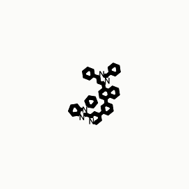 c1ccc(-c2cc(-c3ccc(-c4cccc(-c5ccnc(-c6nc7ccccc7n6-c6ccccc6)c5)c4)c4ccccc34)nc(-c3ccccc3)n2)cc1